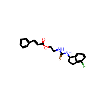 O=C(/C=C/c1ccccc1)OCCNC(=S)NC1CCc2c(F)cccc21